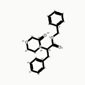 O=C(OCc1ccccc1)C(Cc1ccccc1)N1CCOCC1=O